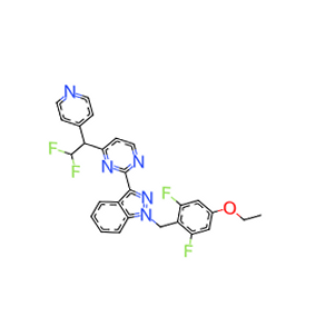 CCOc1cc(F)c(Cn2nc(-c3nccc(C(c4ccncc4)C(F)F)n3)c3ccccc32)c(F)c1